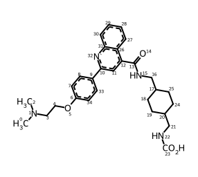 CN(C)CCOc1ccc(-c2cc(C(=O)NCC3CCC(CNC(=O)O)CC3)c3ccccc3n2)cc1